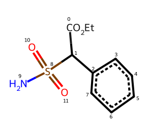 CCOC(=O)C(c1ccccc1)S(N)(=O)=O